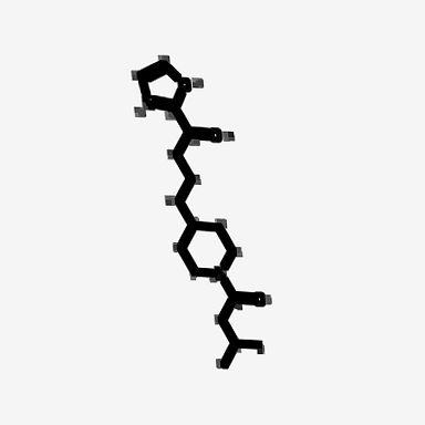 CC(C)CC(=O)N1CCC(CCCC(=O)c2ncco2)CC1